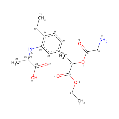 CCOC(=O)C(C)OC(=O)CN.CCc1ccccc1N[C@@H](C)C(=O)O